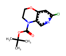 CC(C)(C)OC(=O)N1CCOc2cc(Cl)ncc21